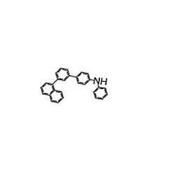 c1ccc(Nc2ccc(-c3cccc(-c4cccc5ccccc45)c3)cc2)cc1